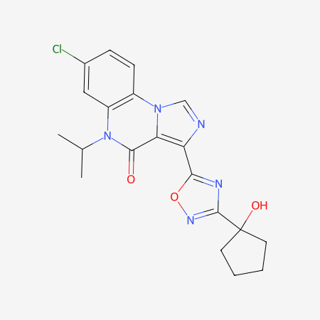 CC(C)n1c(=O)c2c(-c3nc(C4(O)CCCC4)no3)ncn2c2ccc(Cl)cc21